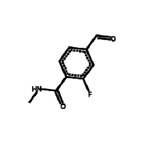 CNC(=O)c1ccc(C=O)cc1F